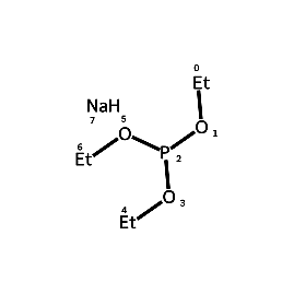 CCOP(OCC)OCC.[NaH]